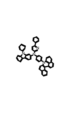 c1ccc(-c2ccc(N(c3ccc(N4c5ccc6ccccc6c5-c5cccc6cccc4c56)cc3)c3ccc4c5ccccc5n(-c5ccccc5)c4c3)cn2)cc1